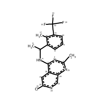 Cc1nc(NC(C)c2cccc(C(F)(F)F)c2C)c2cc(Cl)ncc2n1